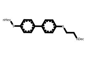 CCCCCCCCCCCCSc1ccc(-c2ccc(SCCCCCC)cc2)cc1